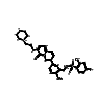 COc1ncc(-c2ccc3ncc(OCCN4CCOCC4)c(=O)n3c2)cc1CNS(=O)(=O)c1ccc(F)cc1Cl